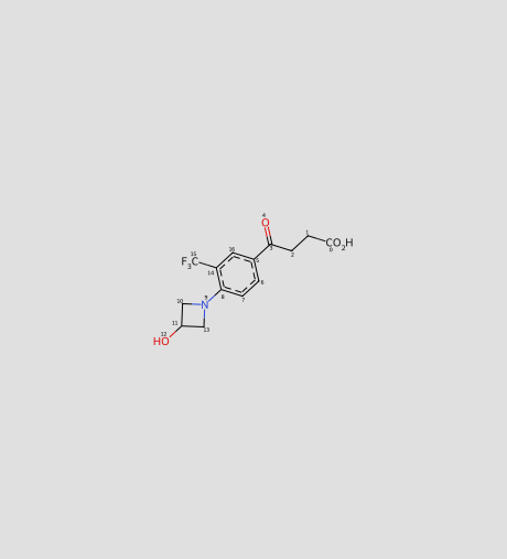 O=C(O)CCC(=O)c1ccc(N2CC(O)C2)c(C(F)(F)F)c1